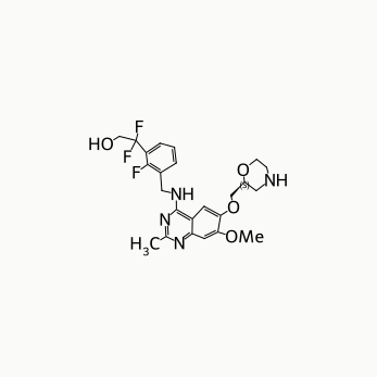 COc1cc2nc(C)nc(NCc3cccc(C(F)(F)CO)c3F)c2cc1OC[C@@H]1CNCCO1